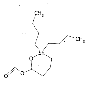 CCC[CH2][Sn]1([CH2]CCC)[CH2]CCC(OC=O)[O]1